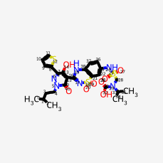 CC(C)CCn1nc(-c2cccs2)c(O)c(C2=NS(=O)(=O)c3cc(NS(=O)(=O)CN(C(=O)O)C(C)C)ccc3N2)c1=O